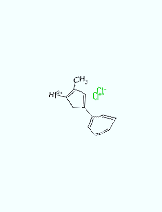 CC1=[C]([Hf+2])CC(c2ccccc2)=C1.[Cl-].[Cl-]